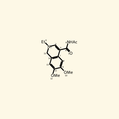 CCN1C=C(C(=O)NC(C)=O)c2cc(OC)c(OC)cc2C1